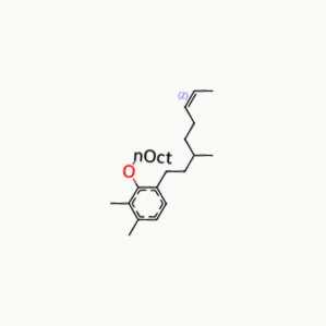 C/C=C\CCC(C)CCc1ccc(C)c(C)c1OCCCCCCCC